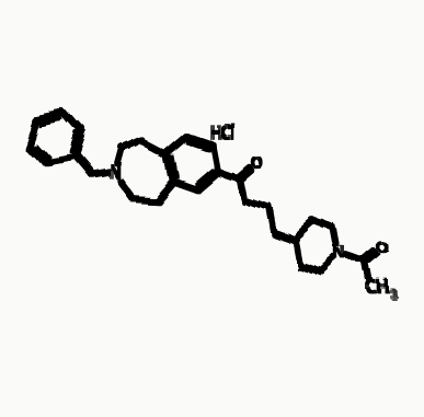 CC(=O)N1CCC(CCCC(=O)c2ccc3c(c2)CCN(Cc2ccccc2)CC3)CC1.Cl